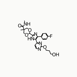 CNC(=O)C1(C)COC(c2nc(-c3ccc(F)cc3)c(-c3ccnc(OCCCO)n3)[nH]2)OC1